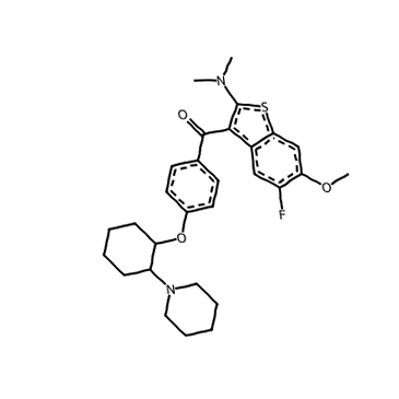 COc1cc2sc(N(C)C)c(C(=O)c3ccc(OC4CCCCC4N4CCCCC4)cc3)c2cc1F